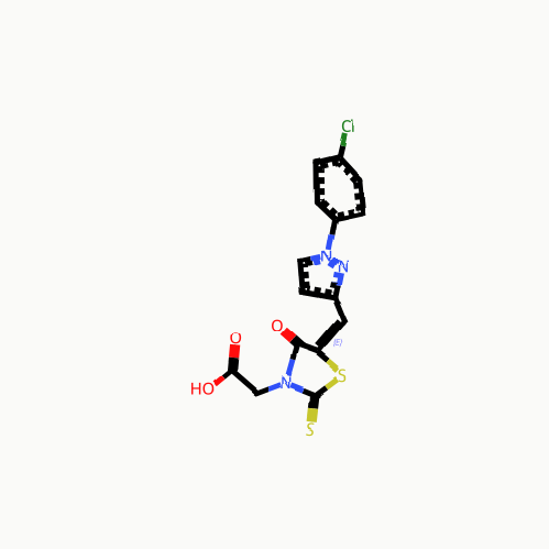 O=C(O)CN1C(=O)/C(=C\c2ccn(-c3ccc(Cl)cc3)n2)SC1=S